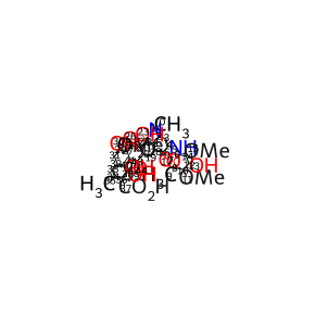 C/N=C1\C=C(N[C@H]2O[C@@H](C)[C@H](OC)[C@@H](O)[C@H]2OC)C(=O)c2cc3c(c(O)c21)C(=O)C1(OC)C(O)Cc2cc(C)c(C(=O)O)c(O)c2C1(O)C3=O